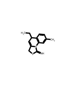 CCC1C=C2CSC(=N)N2c2cc(C)ccc21